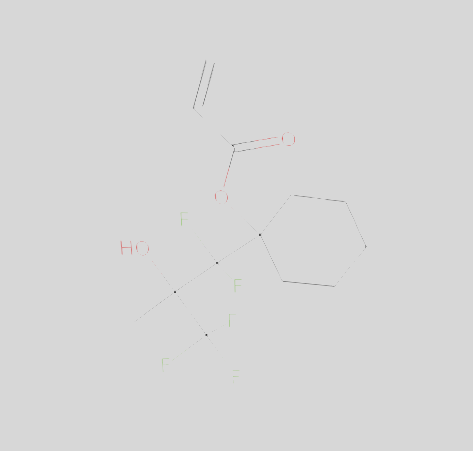 C=CC(=O)OC1(C(F)(F)C(C)(O)C(F)(F)F)CCCCC1